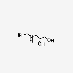 CC(C)CNC[C@H](O)CO